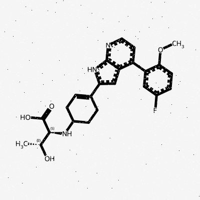 COc1ccc(F)cc1-c1ccnc2[nH]c(C3=CCC(N[C@H](C(=O)O)[C@@H](C)O)CC3)cc12